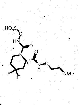 CNCCONC(=O)[C@@H]1CC(F)(F)CCN1C(=O)NOS(=O)(=O)O